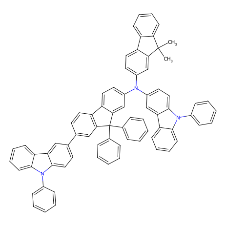 CC1(C)c2ccccc2-c2ccc(N(c3ccc4c(c3)C(c3ccccc3)(c3ccccc3)c3cc(-c5ccc6c(c5)c5ccccc5n6-c5ccccc5)ccc3-4)c3ccc4c(c3)c3ccccc3n4-c3ccccc3)cc21